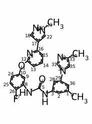 Cc1cc(NC(=O)Nc2cc(Oc3cccc(-c4cnn(C)c4)n3)ccc2F)cc(-n2cnc(C)c2)c1